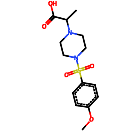 COc1ccc(S(=O)(=O)N2CCN(C(C)C(=O)O)CC2)cc1